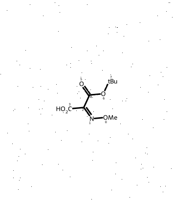 CON=C(C(=O)O)C(=O)OC(C)(C)C